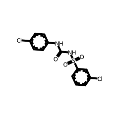 O=C(Nc1ccc(Cl)cc1)NS(=O)(=O)c1cccc(Cl)c1